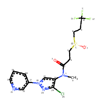 CN(C(=O)CC[S@@+]([O-])CCC(F)(F)F)c1cn(-c2cccnc2)nc1Cl